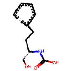 O=C(O)N[C@H](CO)CCc1ccccc1